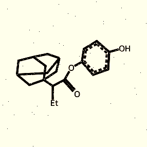 CCC(C(=O)Oc1ccc(O)cc1)C12CC3CC(CC(C3)C1)C2